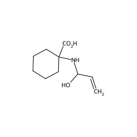 C=CC(O)NC1(C(=O)O)CCCCC1